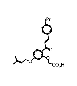 CCCc1ccc(C=CC(=O)c2ccc(OCC=C(C)C)cc2OCC(=O)O)cc1